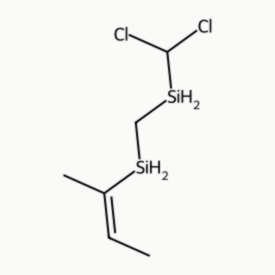 CC=C(C)[SiH2]C[SiH2]C(Cl)Cl